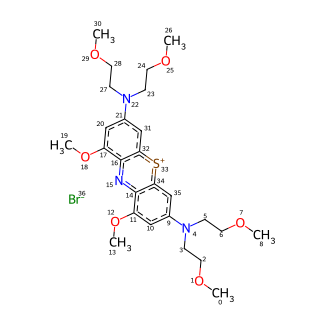 COCCN(CCOC)c1cc(OC)c2nc3c(OC)cc(N(CCOC)CCOC)cc3[s+]c2c1.[Br-]